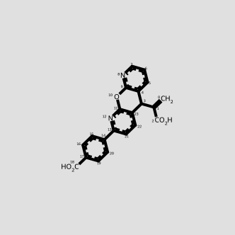 C=C(C(=O)O)C1c2cccnc2Oc2nc(-c3ccc(C(=O)O)cc3)ccc21